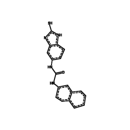 O=C(Nc1ccc2ccccc2c1)Nc1ccc2[nH]c(S)nc2c1